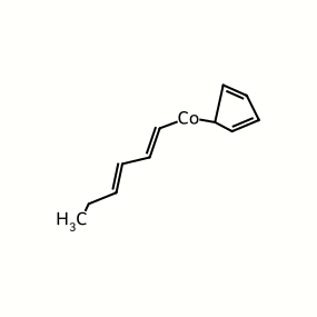 CCC=CC=[CH][Co][CH]1C=CC=C1